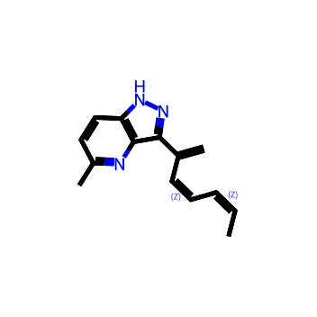 C=C(/C=C\C=C/C)c1n[nH]c2ccc(C)nc12